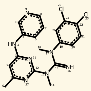 Cc1cc(Nc2cccnc2)nc(N(C)C(=N)N(C)c2ccc(Cl)c(Cl)c2)n1